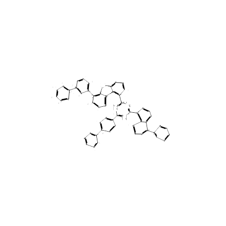 c1ccc(-c2ccc(-c3nc(-c4cccc5c(-c6ccccc6)cccc45)nc(-c4cccc5oc6c(-c7cccc(-c8ccccc8)c7)cccc6c45)n3)cc2)cc1